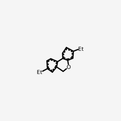 CCc1ccc2c(c1)COc1cc(CC)ccc1-2